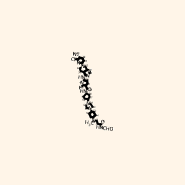 CN(CCC(=O)NC=O)c1ccc(N2CCN(C3CCC(NC(=O)c4ccc(Nc5ncnc6c5CCN(c5ccc(C#N)c(Cl)n5)C6)nc4F)CC3)CC2)cc1